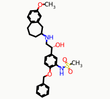 COc1ccc2c(c1)CC(NC[C@H](O)c1ccc(OCc3ccccc3)c(NS(C)(=O)=O)c1)CCC2